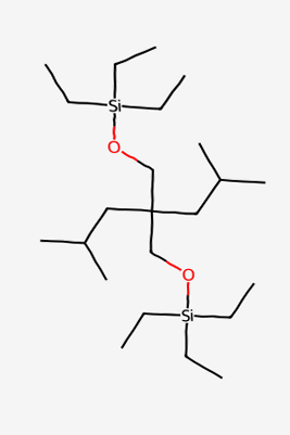 CC[Si](CC)(CC)OCC(CO[Si](CC)(CC)CC)(CC(C)C)CC(C)C